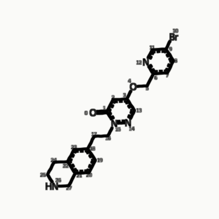 O=c1cc(OCc2ccc(Br)cn2)cnn1CCc1ccc2c(c1)CCNC2